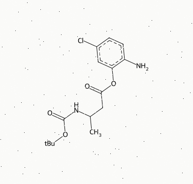 CC(CC(=O)Oc1cc(Cl)ccc1N)NC(=O)OC(C)(C)C